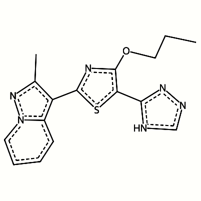 CCCOc1nc(-c2c(C)nn3ccccc23)sc1-c1nnc[nH]1